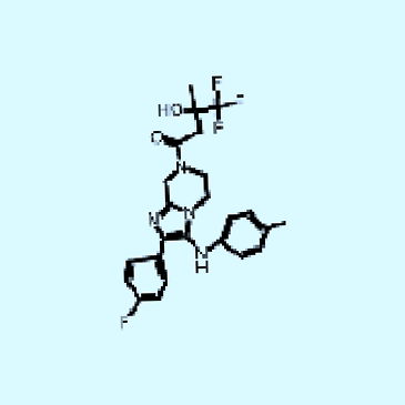 Cc1ccc(Nc2c(-c3ccc(F)cc3)nc3n2CCN(C(=O)CC(C)(O)C(F)(F)F)C3)cc1